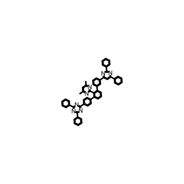 Cc1cc(C)nc(-c2c(-c3ccc(-c4nc(-c5ccccc5)nc(-c5ccccc5)n4)cc3)cccc2-c2cccc(-c3cc(-c4ccccc4)nc(-c4ccccc4)n3)c2)n1